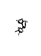 Cc1nc(-c2c[nH]c3ncncc23)ncc1F